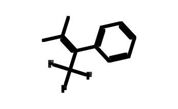 CC(C)=C(c1ccccc1)C(F)(F)F